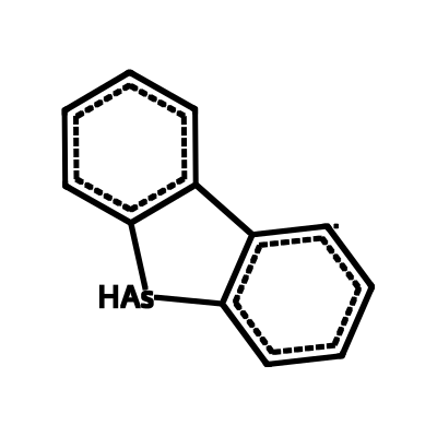 [c]1cccc2c1-c1ccccc1[AsH]2